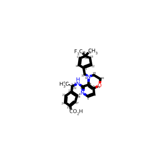 C[C@H](Nc1nccc2c1N(CC1=CCC(C)(C(F)(F)F)C=C1)CCO2)c1ccc(C(=O)O)cc1